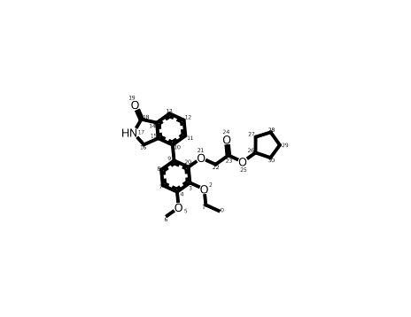 CCOc1c(OC)ccc(-c2cccc3c2CNC3=O)c1OCC(=O)OC1CCCC1